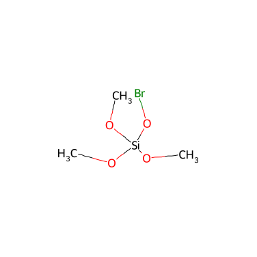 CO[Si](OC)(OC)OBr